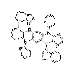 c1ccc(N2c3cc4c(cc3B3c5c(cccc52)-c2cccc5ccn3c25)N(c2ccccc2)c2cccc3c2B4n2ccc4cccc-3c42)cc1